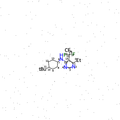 CCc1ncnc(NC2CCC(C(C)(C)C)CC2)c1C(F)(F)C(F)(F)F